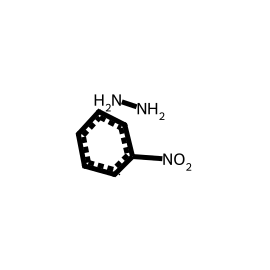 NN.O=[N+]([O-])c1[c]cccc1